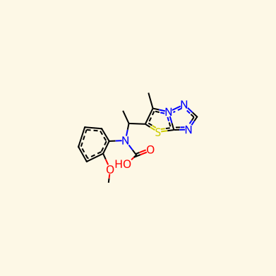 COc1ccccc1N(C(=O)O)C(C)c1sc2ncnn2c1C